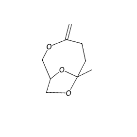 C=C1CCC2(C)OCC(CO1)O2